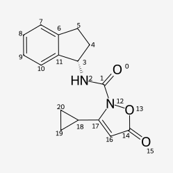 O=C(N[C@H]1CCc2ccccc21)n1oc(=O)cc1C1CC1